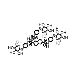 O=S(=O)(Nc1ccc(S[C@@H]2O[C@H](CO)[C@@H](O)[C@H](O)[C@H]2O)cc1)c1ccc2c(S(=O)(=O)Nc3ccc(S[C@@H]4O[C@H](CO)[C@@H](O)[C@H](O)[C@H]4O)cc3)c(S(=O)(=O)Nc3ccc(S[C@@H]4O[C@H](CO)[C@@H](O)[C@H](O)[C@H]4O)cc3)ccc2c1